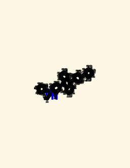 CCc1nc2cc(-c3c4ccccc4c(-c4ccc(-c5ccccc5)cc4)c4ccccc34)ccc2n1-c1ccccc1